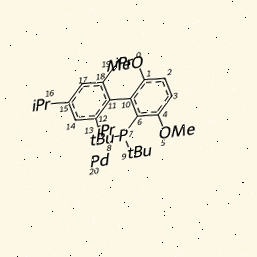 COc1ccc(OC)c(P(C(C)(C)C)C(C)(C)C)c1-c1c(C(C)C)cc(C(C)C)cc1C(C)C.[Pd]